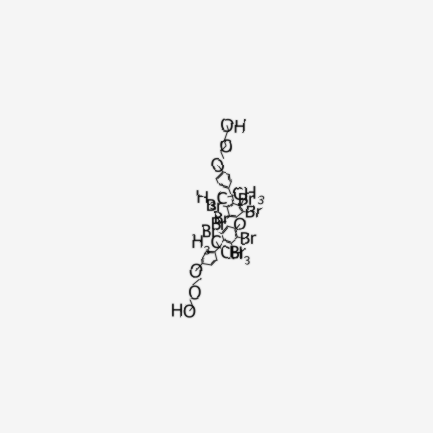 CC(C)(c1ccc(OCCOCCO)cc1)c1c(Br)c(Br)c(Oc2c(Br)c(Br)c(C(C)(C)c3ccc(OCCOCCO)cc3)c(Br)c2Br)c(Br)c1Br